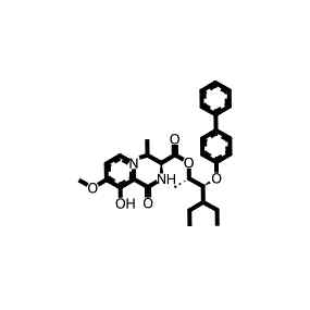 CCC(CC)[C@@H](Oc1ccc(-c2ccccc2)cc1)[C@H](C)OC(=O)[C@@H](NC(=O)c1nccc(OC)c1O)C(C)C